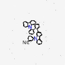 N#Cc1cccc(-n2c3ccccc3c3ccc(-c4ccccc4-c4ccccc4-n4c5ccccc5c5ccccc54)cc32)c1